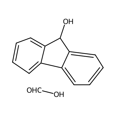 O=CO.OC1c2ccccc2-c2ccccc21